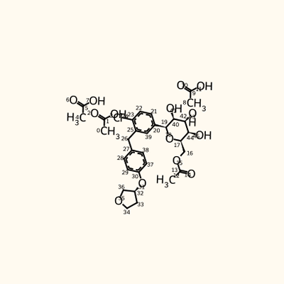 CC(=O)O.CC(=O)O.CC(=O)O.CC(=O)OC[C@H]1O[C@@H](c2ccc(Cl)c(Cc3ccc(O[C@H]4CCOC4)cc3)c2)[C@@H](O)[C@@H](O)[C@H]1O